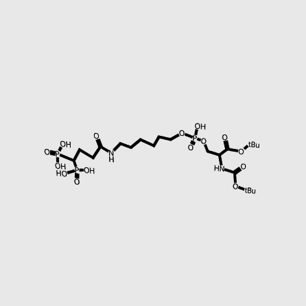 CC(C)(C)OC(=O)NC(COP(=O)(O)OCCCCCCNC(=O)CCC(P(=O)(O)O)P(=O)(O)O)C(=O)OC(C)(C)C